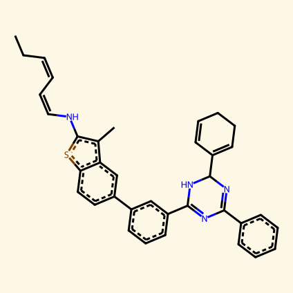 CC/C=C\C=C/Nc1sc2ccc(-c3cccc(C4=NC(c5ccccc5)=NC(C5=CCCC=C5)N4)c3)cc2c1C